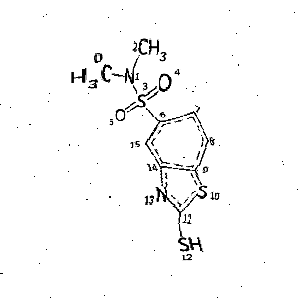 CN(C)S(=O)(=O)c1ccc2sc(S)nc2c1